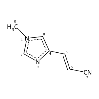 Cn1cnc(C=CC#N)c1